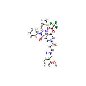 COc1ccccc1CNCCC(=O)N1CCC2=C(C1)C(=O)N(c1ccccc1)C(SC1CCC1)N2OC(=O)C(F)(F)F